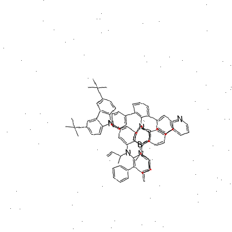 C=C/C=C\N(C)B1c2ccc(-c3cccnc3)cc2N(c2c(-c3ccccc3)cccc2-c2ccccc2)c2cc(-n3c4ccc(C(C)(C)C)cc4c4cc(C(C)(C)C)ccc43)cc(N(c3c(-c4ccccc4)cccc3-c3ccccc3)C(C)C=C)c21